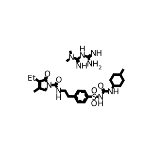 CCC1=C(C)CN(C(=O)NCCc2ccc(S(=O)(=O)NC(=O)NC3CCC(C)CC3)cc2)C1=O.CN(C)C(=N)NC(=N)N